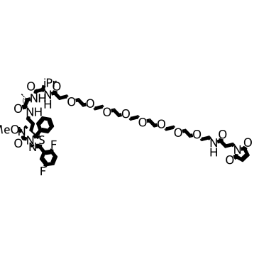 CON(C)C(=O)N1N=C(c2cc(F)ccc2F)S[C@@]1(CCCNC(=O)[C@H](C)NC(=O)C(NC(=O)CCOCCOCCOCCOCCOCCOCCOCCOCCNC(=O)CCN1C(=O)C=CC1=O)C(C)C)c1ccccc1